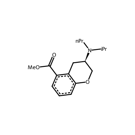 CCCN(C(C)C)[C@H]1COc2cccc(C(=O)OC)c2C1